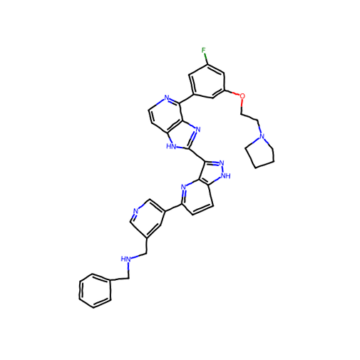 Fc1cc(OCCN2CCCC2)cc(-c2nccc3[nH]c(-c4n[nH]c5ccc(-c6cncc(CNCc7ccccc7)c6)nc45)nc23)c1